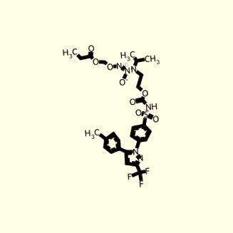 CCC(=O)OCO/N=[N+](\[O-])N(CCOC(=O)NS(=O)(=O)c1ccc(-n2nc(C(F)(F)F)cc2-c2ccc(C)cc2)cc1)C(C)C